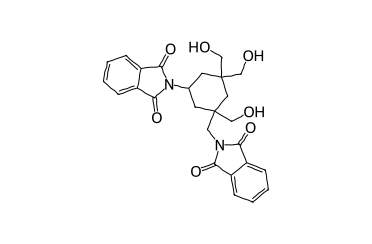 O=C1c2ccccc2C(=O)N1CC1(CO)CC(N2C(=O)c3ccccc3C2=O)CC(CO)(CO)C1